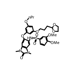 CCCOc1cc(OCCCC2OCCO2)cc(Oc2cc3c(cc2NS(=O)(=O)c2ccc(OC)c(OC)c2)n(C)c(=O)n3C)c1